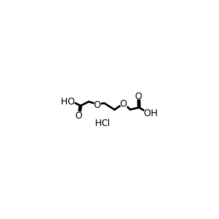 Cl.O=C(O)COCCOCC(=O)O